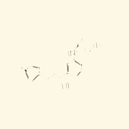 CC(C)(C)OC(=O)Nc1cccc(CCCc2ccncc2)c1.I